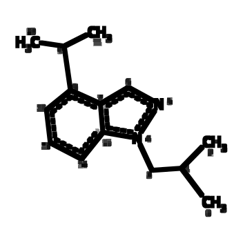 CC(C)Cn1ncc2c(C(C)C)cccc21